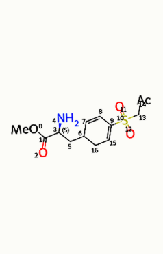 COC(=O)[C@@H](N)CC1C=CC(S(=O)(=O)CC(C)=O)=CC1